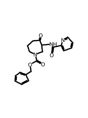 O=C(NC1CN(C(=O)OCc2ccccc2)CCCC1=O)c1ccccn1